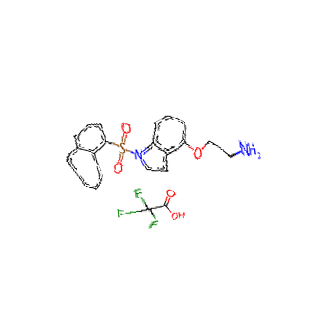 NCCOc1cccc2c1ccn2S(=O)(=O)c1cccc2ccccc12.O=C(O)C(F)(F)F